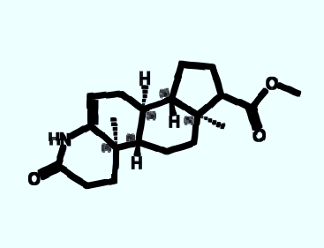 COC(=O)C1CC[C@H]2[C@@H]3CC=C4NC(=O)CC[C@]4(C)[C@H]3CC[C@]12C